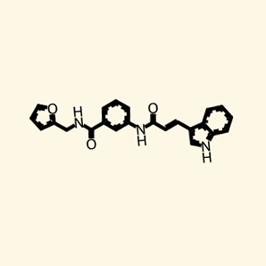 O=C(/C=C/c1c[nH]c2ccccc12)Nc1cccc(C(=O)NCc2ccco2)c1